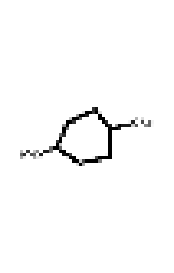 CSC1CCC(OC(C)=O)CC1